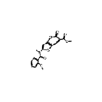 COC(=O)c1cc2sc(N(C)C(=O)c3ccccc3OC)cc2oc1=O